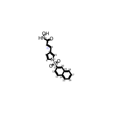 O=C(/C=C/c1ccn(S(=O)(=O)c2ccc3ccccc3c2)c1)NO